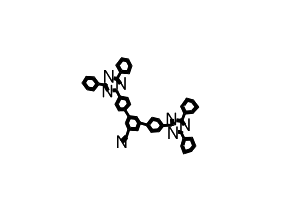 N#Cc1cc(-c2ccc(-c3nc(-c4ccccc4)nc(-c4ccccc4)n3)cc2)cc(-c2ccc(-c3nc(-c4ccccc4)nc(-c4ccccc4)n3)cc2)c1